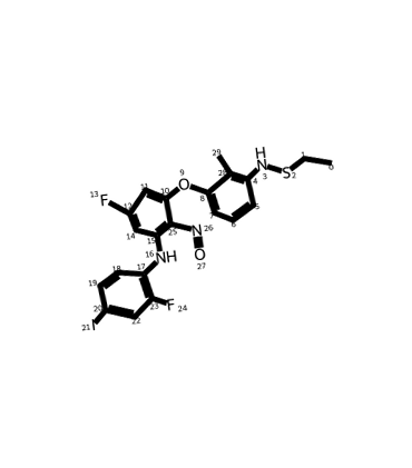 CCSNc1cccc(Oc2cc(F)cc(Nc3ccc(I)cc3F)c2N=O)c1C